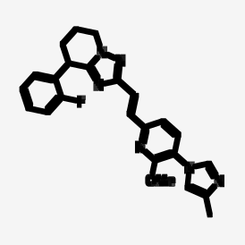 COc1nc(C=Cc2nc3n(n2)CCCC3c2ccccc2F)ccc1-n1cnc(C)c1